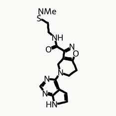 CNSCCNC(=O)c1noc2c1CN(c1ncnc3[nH]ccc13)CC2